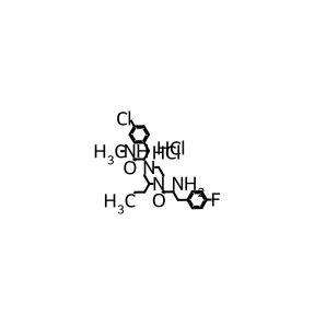 CCCC1CN(C(Cc2ccc(Cl)cc2)C(=O)NC)CCN1C(=O)C(N)Cc1ccc(F)cc1.Cl.Cl